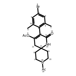 CC(=O)OC1=C(c2c(C)cc(Br)cc2C)C(=O)NC2(CCN(C(C)=O)CC2)C1